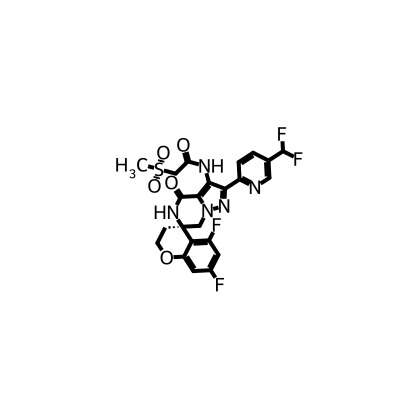 CS(=O)(=O)CC(=O)Nc1c(-c2ccc(C(F)F)cn2)nn2c1C(=O)N[C@@]1(CCOc3cc(F)cc(F)c31)C2